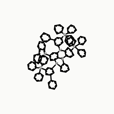 c1ccc(-c2cc(N3c4ccccc4B4c5ccc([Si](c6ccccc6)(c6ccccc6)c6ccccc6)cc5N(c5cc(-c6ccccc6)cc([Si](c6ccccc6)(c6ccccc6)c6ccccc6)c5)c5cc(-n6c7ccccc7c7ccccc76)cc3c54)cc([Si](c3ccccc3)(c3ccccc3)c3ccccc3)c2)cc1